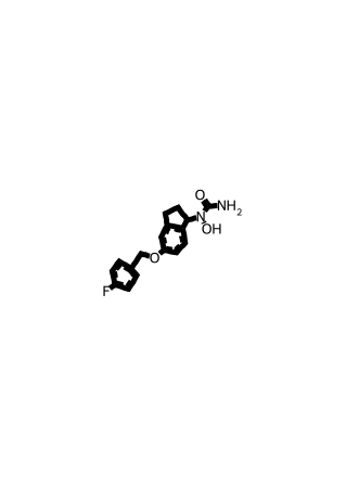 NC(=O)N(O)C1CCc2cc(OCc3ccc(F)cc3)ccc21